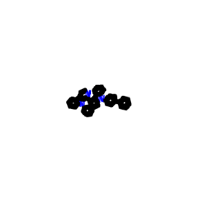 c1ccc(-c2ccc(-n3c4ccccc4c4c(-c5nccc6c7ccccc7n(-c7ccccc7)c56)cccc43)cc2)cc1